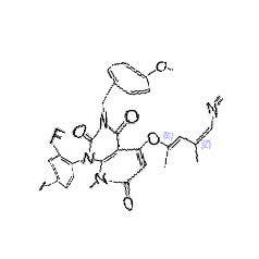 C=N/C=C(C)\C=C(/C)Oc1cc(=O)n(C)c2c1c(=O)n(Cc1ccc(OC)cc1)c(=O)n2-c1ccc(I)cc1F